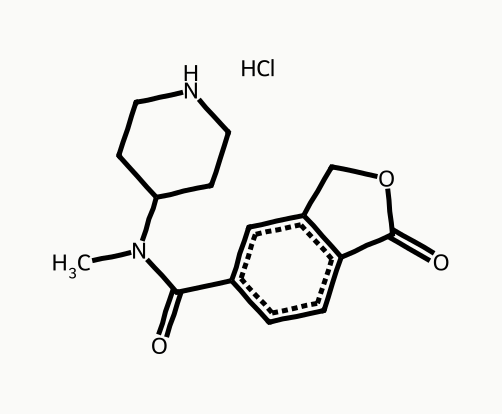 CN(C(=O)c1ccc2c(c1)COC2=O)C1CCNCC1.Cl